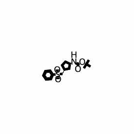 CC(C)(C)OC(=O)N[C@H]1CC[C@@H](CS(=O)(=O)c2ccccc2)C1